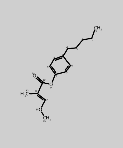 CCCCCc1ccc(OC(=O)C(C)=COC)cc1